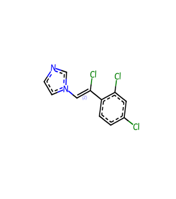 Cl/C(=C\n1ccnc1)c1ccc(Cl)cc1Cl